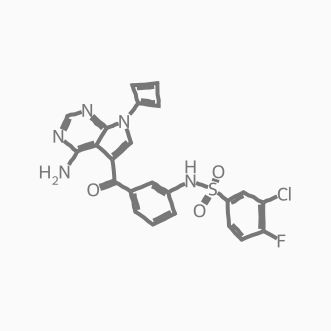 Nc1ncnc2c1c(C(=O)c1cccc(NS(=O)(=O)c3ccc(F)c(Cl)c3)c1)cn2C1=CC=C1